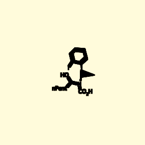 CCCCCC(O)N(C(=O)O)[C@H]1C[C@H]1c1ccccc1I